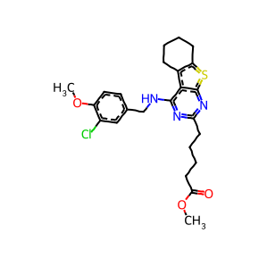 COC(=O)CCCCc1nc(NCc2ccc(OC)c(Cl)c2)c2c3c(sc2n1)CCCC3